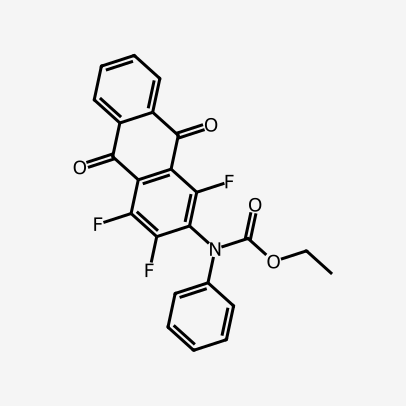 CCOC(=O)N(c1ccccc1)c1c(F)c(F)c2c(c1F)C(=O)c1ccccc1C2=O